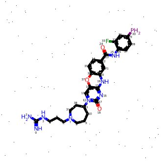 N=C(N)NCCCN1CCCC(n2cc3c(nc2=O)Nc2cc(C(=O)Nc4ccc(P)cc4F)ccc2O3)CC1